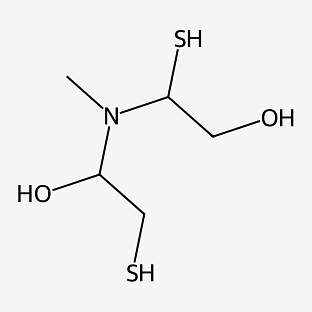 CN(C(O)CS)C(S)CO